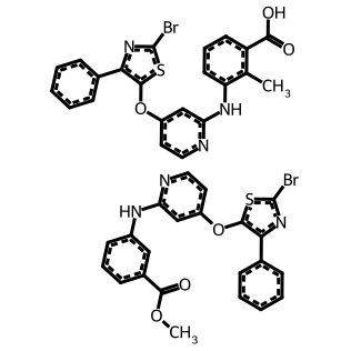 COC(=O)c1cccc(Nc2cc(Oc3sc(Br)nc3-c3ccccc3)ccn2)c1.Cc1c(Nc2cc(Oc3sc(Br)nc3-c3ccccc3)ccn2)cccc1C(=O)O